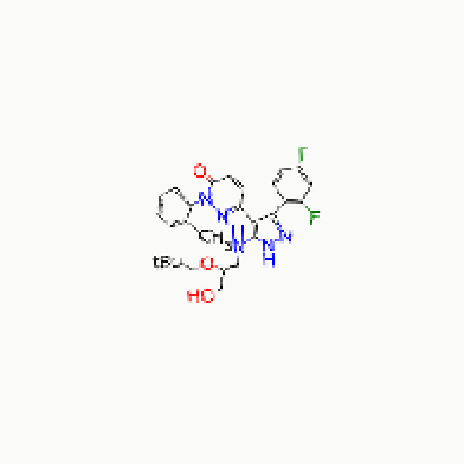 Cc1ccccc1-n1nc(-c2c(-c3ccc(F)cc3F)n[nH]c2NC[C@@H](CO)OCC(C)(C)C)ccc1=O